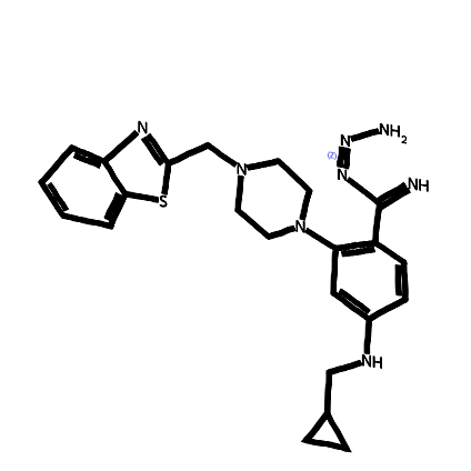 N=C(/N=N\N)c1ccc(NCC2CC2)cc1N1CCN(Cc2nc3ccccc3s2)CC1